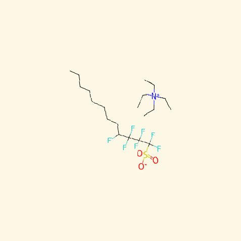 CCCCCCCCC(F)C(F)(F)C(F)(F)C(F)(F)S(=O)(=O)[O-].CC[N+](CC)(CC)CC